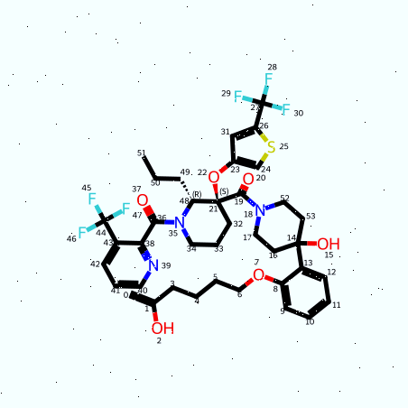 C=C(O)CCCCOc1ccccc1C1(O)CCN(C(=O)[C@]2(Oc3csc(C(F)(F)F)c3)CCCN(C(=O)c3ncccc3C(F)(F)F)[C@@H]2CCC)CC1